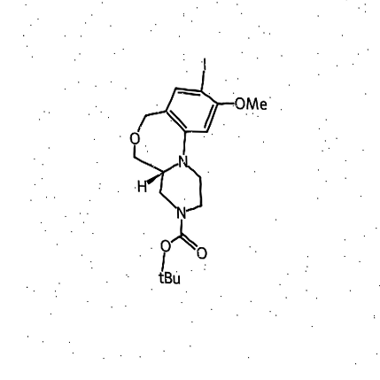 COc1cc2c(cc1I)COC[C@H]1CN(C(=O)OC(C)(C)C)CCN21